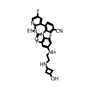 CCN1C(=O)N(c2c(F)cc(NCCNC3CC(O)C3)cc2F)c2cc(C#N)ccc2-c2cc(F)cnc21